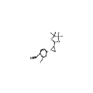 CC1(C)OB([C@H]2C[C@@H]2c2ccc(C#N)c(F)c2)OC1(C)C